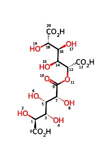 O=C(O)[C@@H](O)[C@@H](O)[C@H](O)[C@@H](O)C(=O)O[C@@H](C(=O)O)[C@@H](O)[C@H](O)[C@H](O)C(=O)O